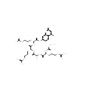 Cc1cc(=O)oc2cc(NC(=O)[C@H](CCCNC(=N)N)NC(=O)[C@H](CCCNC(=N)N)NC(=O)[C@@H](NC(=O)[C@H](CCCNC(=N)N)NC(=O)OC(C)(C)C)C(C)C)ccc12